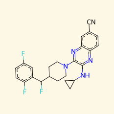 N#Cc1ccc2nc(NC3CC3)c(N3CCC(C(F)c4cc(F)ccc4F)CC3)nc2c1